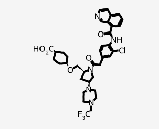 O=C(Nc1ccc(CC(=O)N2C[C@@H](N3CCN(CC(F)(F)F)CC3)C[C@H]2CO[C@H]2CC[C@H](C(=O)O)CC2)cc1Cl)c1cccc2ccncc12